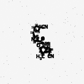 Cc1ccc(NS(=O)(=O)c2cnc(CN3CCC(C#N)C3)s2)c2[nH]cc(C#N)c12